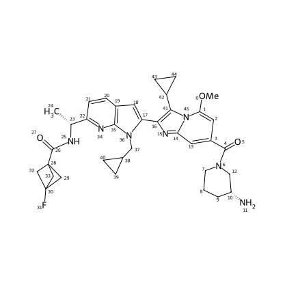 COc1cc(C(=O)N2CCC[C@@H](N)C2)cc2nc(-c3cc4ccc([C@@H](C)NC(=O)C56CC(F)(C5)C6)nc4n3CC3CC3)c(C3CC3)n12